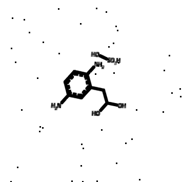 Nc1ccc(N)c(CC(O)O)c1.O=S(=O)(O)O